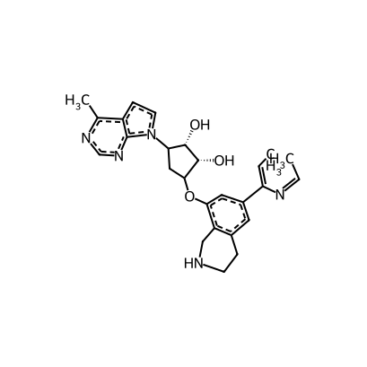 C/C=N\C(=C/C)c1cc2c(c(OC3CC(n4ccc5c(C)ncnc54)[C@H](O)[C@@H]3O)c1)CNCC2